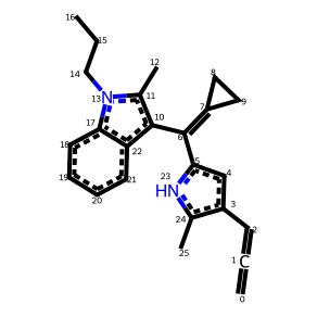 C=C=Cc1cc(C(=C2CC2)c2c(C)n(CCC)c3ccccc23)[nH]c1C